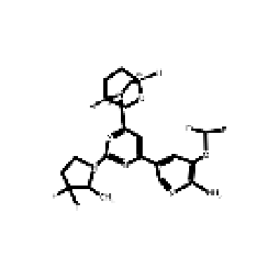 CC1N(c2nc(-c3cnc(N)c(OC(F)F)c3)cc(N3C[C@@H]4CC[C@H]3CO4)n2)CCC1(F)F